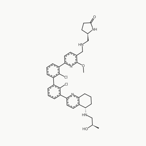 COc1nc(-c2cccc(-c3cccc(-c4ccc5c(n4)CCC[C@@H]5NC[C@@H](C)O)c3Cl)c2Cl)ccc1CNC[C@H]1CCC(=O)N1